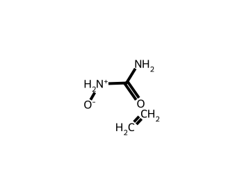 C=C.NC(=O)[NH2+][O-]